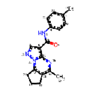 CCc1ccc(NC(=O)c2cnn3c4c(c(C)nc23)CCC4)cc1